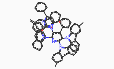 Cc1ccc2c(c1)c1ccccc1n2-c1nc(-n2c3ccccc3c3cc(C)ccc32)c(-n2c3ccccc3c3cc(C)ccc32)c(-c2ccccc2-c2cc(-c3ccccc3)nc(-c3ccccc3)n2)c1-n1c2ccccc2c2cc(C)ccc21